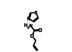 C=CCOC(N)=O.c1cscn1